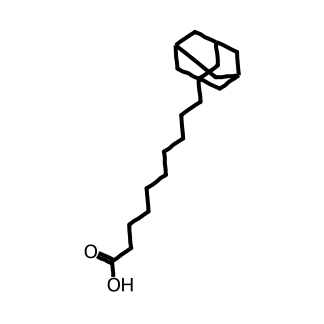 O=C(O)CCCCCCCCCC12CC3CC(CC(C3)C1)C2